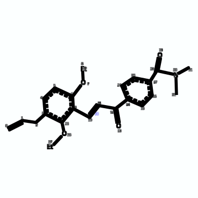 C=CCc1ccc(OCC)c(/C=C/C(=O)c2ccc(C(=O)N(C)C)cc2)c1OCC